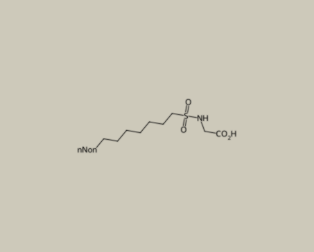 CCCCCCCCCCCCCCCCS(=O)(=O)NCC(=O)O